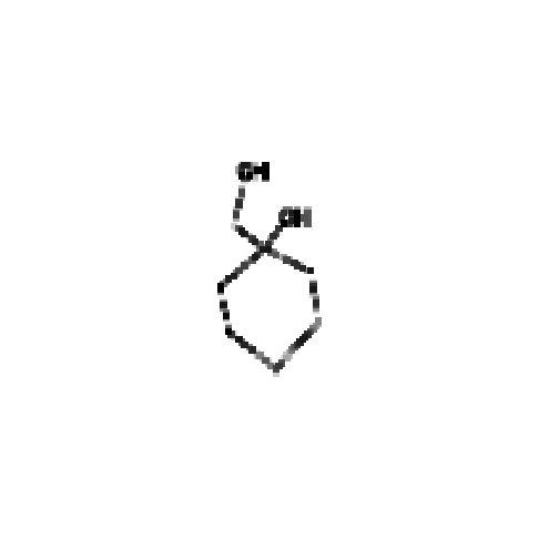 OCC1(O)CC[CH]CC1